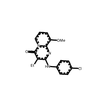 CCc1c(Nc2ccc(Cl)cc2)nc2c(OC)cccn2c1=O